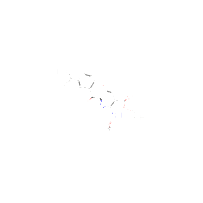 CCOC(=O)c1cc2oc3ccc(C(C)C)cc3c(=O)c2nc1NOC